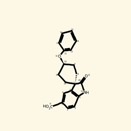 O=C(O)c1ccc2c(c1)[C@]1(CC[C@H](Oc3ccccc3)CC1)C(=O)N2